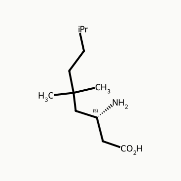 CC(C)CCC(C)(C)C[C@H](N)CC(=O)O